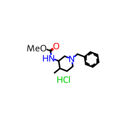 COC(=O)NC1CN(Cc2ccccc2)CCC1C.Cl